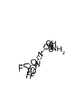 NS(=O)(=O)c1cc(CCN2CCC(c3nc(COCC(F)(F)F)c(-c4ccc(F)cc4)o3)CC2)ccc1O